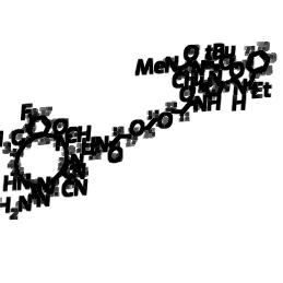 CC[C@H](NC(=O)[C@H]1C[C@@H](NC(=O)CCOCCOCCC(=O)NCCn2nc(C#N)c3c2CN(C)C(=O)c2ccc(F)cc2[C@H](C)CCCNc2nc-3cnc2N)CN1C(=O)[C@H](NC(=O)[C@@H](C)NC)C(C)(C)C)c1ccccc1